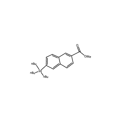 CCC[CH2][Sn]([CH2]CCC)([CH2]CCC)[c]1ccc2cc(C(=O)OC)ccc2c1